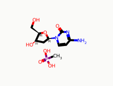 CP(=O)(O)O.Nc1ccn([C@H]2C[C@H](O)[C@@H](CO)O2)c(=O)n1